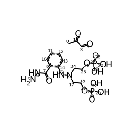 CC(=O)C=O.NNC(=O)c1ccccc1NN(CCOP(=O)(O)O)CCOP(=O)(O)O